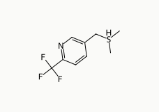 C[SH](C)Cc1ccc(C(F)(F)F)nc1